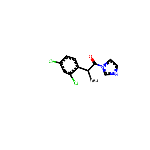 CCCCC(C(=O)n1ccnc1)c1ccc(Cl)cc1Cl